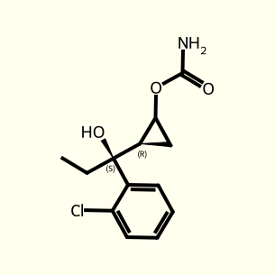 CC[C@@](O)(c1ccccc1Cl)[C@@H]1CC1OC(N)=O